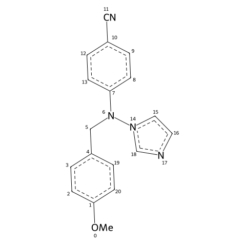 COc1ccc(CN(c2ccc(C#N)cc2)n2ccnc2)cc1